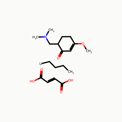 COC1=CC(=O)C(CN(C)C)CC1.O=C(O)C=CC(=O)O.[Li][CH2]CCC